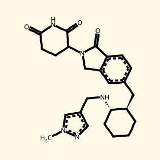 Cn1cc(CN[C@H]2CCCC[C@@H]2Cc2ccc3c(c2)CN(C2CCC(=O)NC2=O)C3=O)cn1